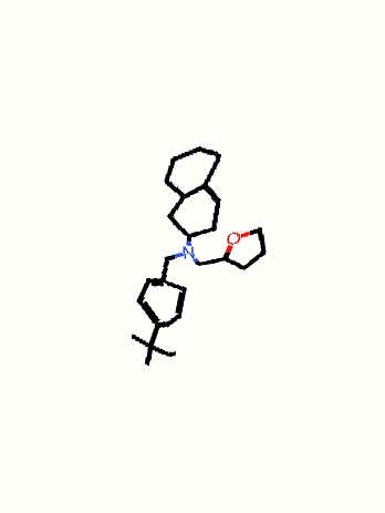 CC(C)(C)c1ccc(CN(CC2CCCO2)C2CCC3CCCCC3C2)cc1